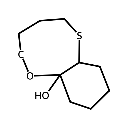 OC12CCCCC1SCCCCO2